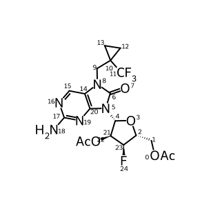 CC(=O)OC[C@H]1O[C@@H](n2c(=O)n(CC3(C(F)(F)F)CC3)c3cnc(N)nc32)[C@H](OC(C)=O)[C@@H]1F